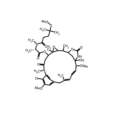 COc1cc2cc(c1Cl)N(C)C(=O)CC(OC(=O)[C@H](C)N(C)C(=O)CCC(C)(C)SSC)C1(C)OC1C(C)C1CC(O)(NC(=O)O1)C(OC)/C=C/C=C(\C)C2